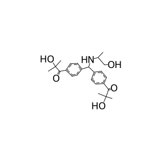 CC(CO)NC(c1ccc(C(=O)C(C)(C)O)cc1)c1ccc(C(=O)C(C)(C)O)cc1